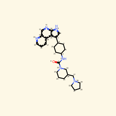 O=C(NC1CCC(c2c[nH]c3ncc4ncccc4c23)CC1)N1CCCC(CN2CCCC2)C1